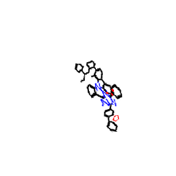 CCC(Cc1ccccc1-c1ccc2c3ccccc3n(-c3ccccc3-c3nc(-c4ccccc4)nc(-c4ccc5c(c4)oc4ccccc45)n3)c2c1C)c1ccccc1